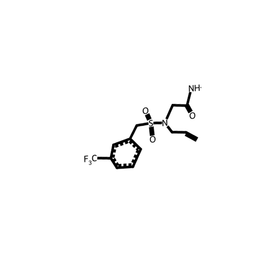 C=CCN(CC([NH])=O)S(=O)(=O)Cc1cccc(C(F)(F)F)c1